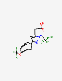 O=C(O)Cc1cc(-c2ccc(OC(F)(F)F)cc2)nn1CC(F)(F)F